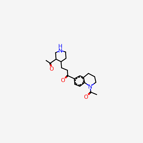 CC(=O)C1CNCCC1CCC(=O)c1ccc2c(c1)CCCN2C(C)=O